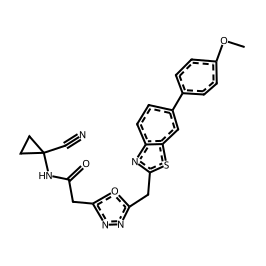 COc1ccc(-c2ccc3nc(Cc4nnc(CC(=O)NC5(C#N)CC5)o4)sc3c2)cc1